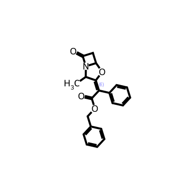 CC1/C(=C(\C(=O)OCc2ccccc2)c2ccccc2)OC2CC(=O)N21